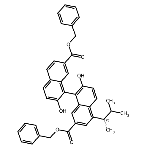 CC(C)[C@H](C)c1cc(C(=O)OCc2ccccc2)cc2c(-c3c(O)ccc4ccc(C(=O)OCc5ccccc5)cc34)c(O)ccc12